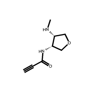 C#CC(=O)N[C@H]1COC[C@H]1NC